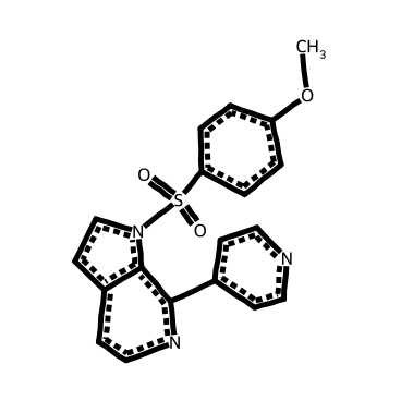 COc1ccc(S(=O)(=O)n2ccc3ccnc(-c4ccncc4)c32)cc1